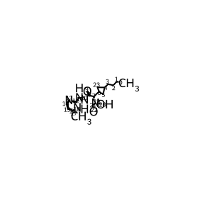 CCCCC1CC(C(C(=O)NNc2nccc(C)n2)N(O)C=O)C1